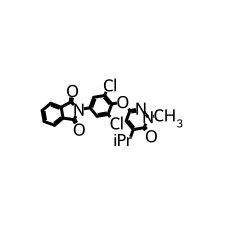 CC(C)c1cc(Oc2c(Cl)cc(N3C(=O)c4ccccc4C3=O)cc2Cl)nn(C)c1=O